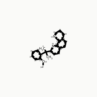 CC(C)(c1ccc2ccc3cccnc3c2n1)c1ccccc1OI